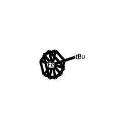 CC(C)(C)[C]12[CH]3[CH]4[CH]5[CH]1[Fe]45321678[CH]2[CH]1[CH]6[CH]7[CH]28